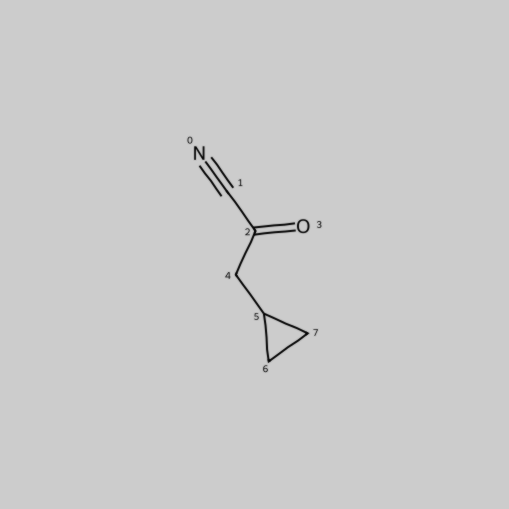 N#CC(=O)CC1CC1